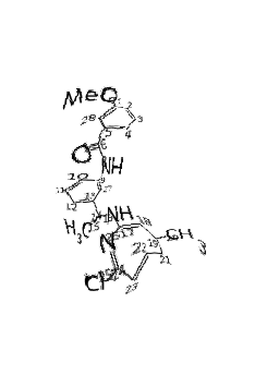 COc1cccc(C(=O)Nc2cccc([C@H](C)NC3=C/C(C)C/C=C/C(Cl)=N\3)c2)c1